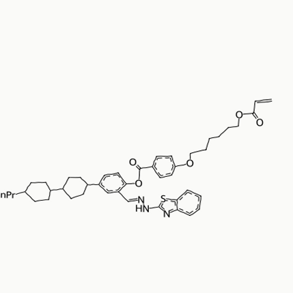 C=CC(=O)OCCCCCCOc1ccc(C(=O)Oc2ccc(C3CCC(C4CCC(CCC)CC4)CC3)cc2/C=N/Nc2nc3ccccc3s2)cc1